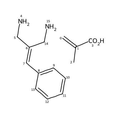 C=C(C)C(=O)O.NCC(=Cc1ccccc1)CN